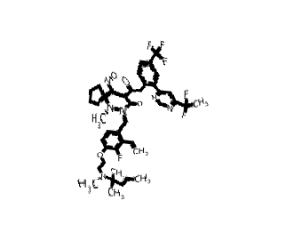 C=Cc1c(CN2C(=O)C(C(=O)Cc3ccc(C(F)(F)F)cc3-c3cc(C(C)(F)F)ncn3)=C(N=O)C3(CCCC3)N2C)ccc(OCCN(C)C(C)(C)CCC)c1F